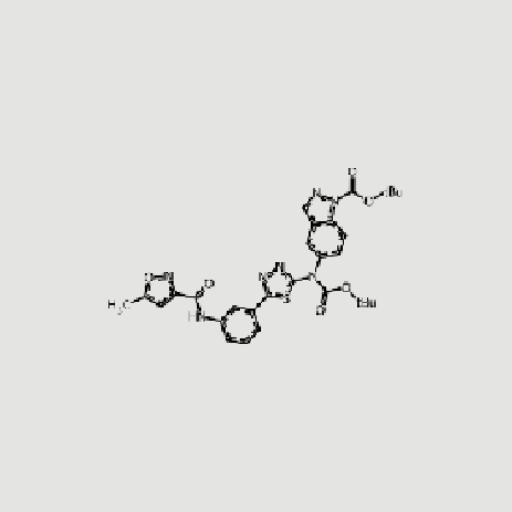 Cc1cc(C(=O)Nc2cccc(-c3nnc(N(C(=O)OC(C)(C)C)c4ccc5c(cnn5C(=O)OC(C)(C)C)c4)s3)c2)no1